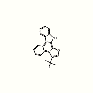 CC(C)(C)c1coc2c3[nH]c4ccccc4c3c3ccccc3c12